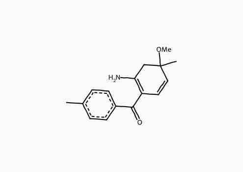 COC1(C)C=CC(C(=O)c2ccc(C)cc2)=C(N)C1